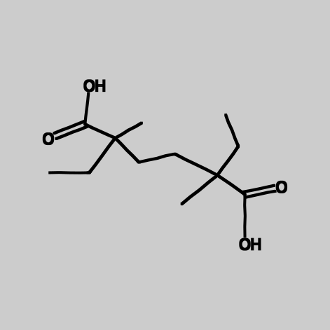 CCC(C)(CCC(C)(CC)C(=O)O)C(=O)O